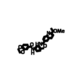 COC(C)c1ccc2cc(C(=O)Nc3cc(NC(=O)c4ccc5c(c4)OCCO5)ccc3C)ccc2n1